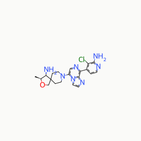 C[C@@H]1OCC2(CCN(c3cnc(-c4ccnc(N)c4Cl)c4nccn34)CC2)[C@@H]1N